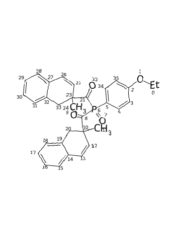 CCOc1ccc(P(=O)(C(=O)C2(C)C=Cc3ccccc3C2)C(=O)C2(C)C=Cc3ccccc3C2)cc1